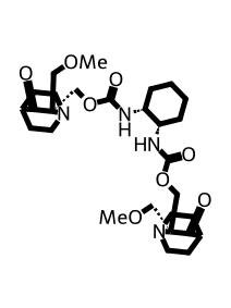 COC[C@]1(COC(=O)N[C@H]2CCCC[C@H]2NC(=O)OC[C@@]2(COC)C(=O)C3CCN2CC3)C(=O)C2CCN1CC2